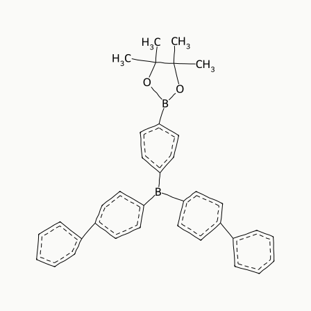 CC1(C)OB(c2ccc(B(c3ccc(-c4ccccc4)cc3)c3ccc(-c4ccccc4)cc3)cc2)OC1(C)C